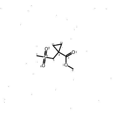 COC(=O)C1(CS(C)(=O)=O)CC1